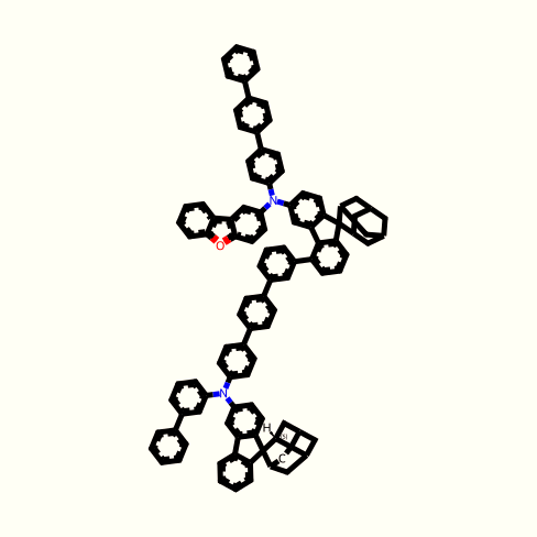 c1ccc(-c2ccc(-c3ccc(N(c4ccc5c(c4)-c4c(-c6cccc(-c7ccc(-c8ccc(N(c9cccc(-c%10ccccc%10)c9)c9ccc%10c(c9)-c9ccccc9C%109C%10CC%11CC%12C[C@H]9C%11%12C%10)cc8)cc7)c6)cccc4C54C5CC6CC(C5)CC4C6)c4ccc5oc6ccccc6c5c4)cc3)cc2)cc1